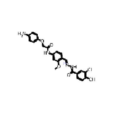 COc1cc(NC(=O)COc2ccc(N)cc2)ccc1/C=N/NC(=O)c1ccc(O)c(Cl)c1